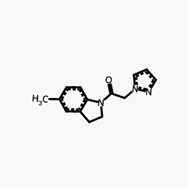 Cc1ccc2c(c1)CCN2C(=O)Cn1cccn1